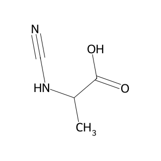 CC(NC#N)C(=O)O